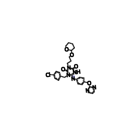 O=c1[nH]/c(=N\c2ccc(Oc3ncccn3)cc2)n(Cc2ccc(Cl)cc2)c(=O)n1CCCOC1CCCCO1